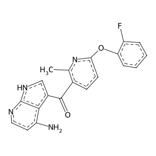 Cc1nc(Oc2ccccc2F)ccc1C(=O)c1c[nH]c2nccc(N)c12